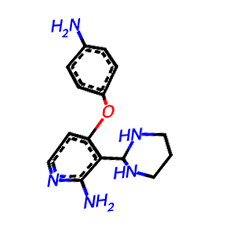 Nc1ccc(Oc2ccnc(N)c2C2NCCCN2)cc1